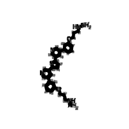 NNCCCOc1cccc(-c2cncc(-c3ccc(-c4cncc(-c5cccc(OCCCNN)c5)c4)s3)c2)c1